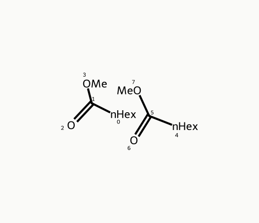 CCCCCCC(=O)OC.CCCCCCC(=O)OC